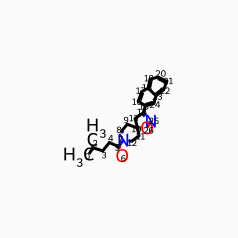 CC(C)CCC(=O)N1CCC2(CC1)CC(c1ccc3ccccc3c1)=NO2